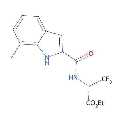 CCOC(=O)C(NC(=O)c1cc2cccc(C)c2[nH]1)C(F)(F)F